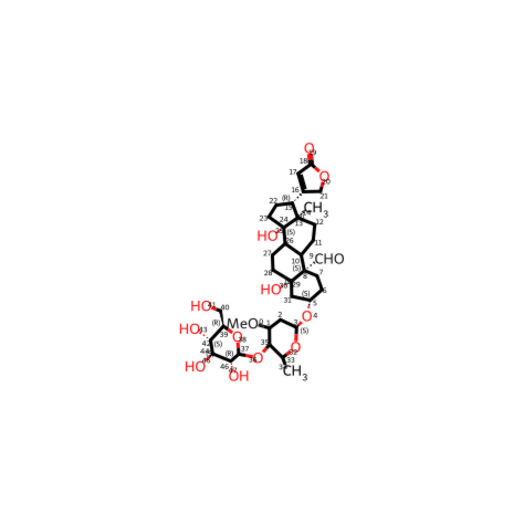 COC1C[C@@H](O[C@H]2CC[C@]3(C=O)C4CC[C@]5(C)[C@@H](C6=CC(=O)OC6)CC[C@]5(O)C4CC[C@]3(O)C2)OC(C)C1OC1O[C@H](CO)[C@@H](O)[C@H](O)[C@H]1O